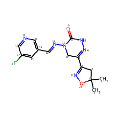 CC1(C)CC(C2=NNC(=O)N(N=Cc3cncc(F)c3)C2)=NO1